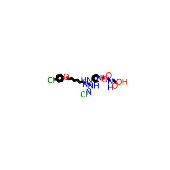 N#CN/C(=N/CCCCCCOc1ccc(Cl)cc1)Nc1cc[n+](COC(=O)NCC(=O)O)cc1.[Cl-]